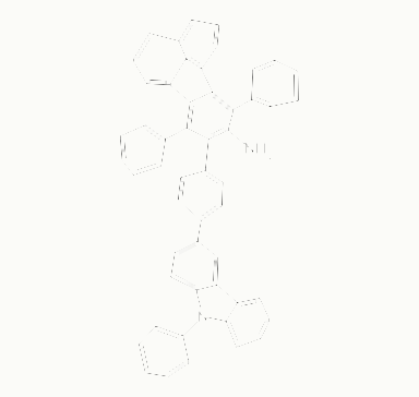 Nc1c(-c2ccc(-c3ccc4c(c3)c3ccccc3n4-c3ccccc3)cc2)c(-c2ccccc2)c2c(c1-c1ccccc1)-c1cccc3cccc-2c13